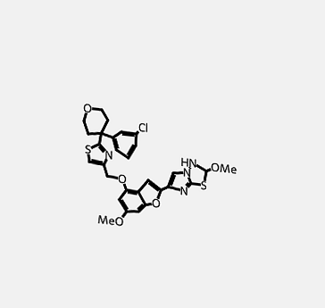 COc1cc(OCc2csc(C3(c4cccc(Cl)c4)CCOCC3)n2)c2cc(-c3cn4c(n3)SC(OC)N4)oc2c1